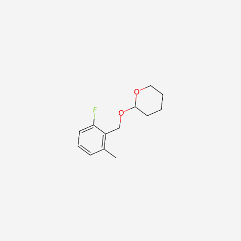 Cc1cccc(F)c1COC1CCCCO1